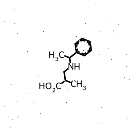 CC(CNC(C)c1ccccc1)C(=O)O